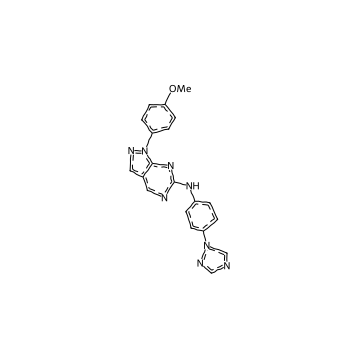 COc1ccc(-n2ncc3cnc(Nc4ccc(-n5cncn5)cc4)nc32)cc1